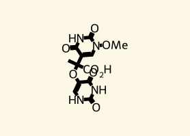 COn1cc(C(C)(Oc2c[nH]c(=O)[nH]c2=O)C(=O)O)c(=O)[nH]c1=O